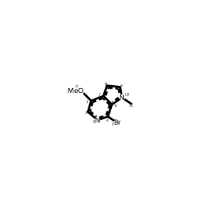 COc1cnc(Br)c2c1ccn2C